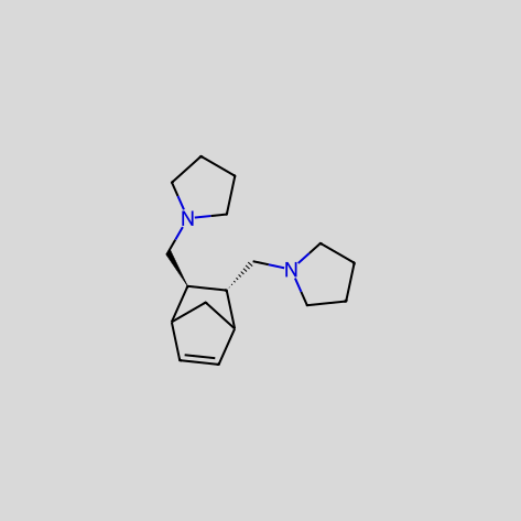 C1=CC2CC1[C@@H](CN1CCCC1)[C@@H]2CN1CCCC1